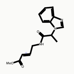 COC(=O)/C=C/CNC(=O)C(C)n1cnc2ccccc21